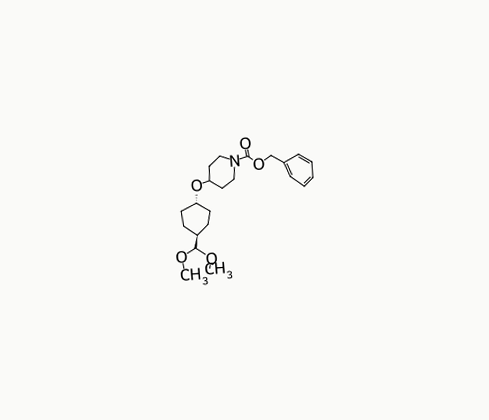 COC(OC)[C@H]1CC[C@H](OC2CCN(C(=O)OCc3ccccc3)CC2)CC1